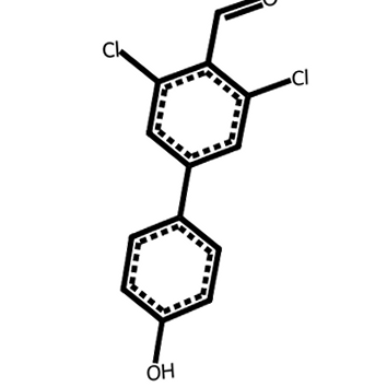 O=Cc1c(Cl)cc(-c2ccc(O)cc2)cc1Cl